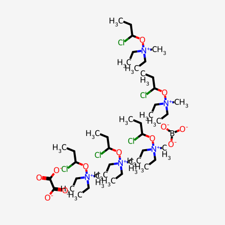 CCC(Cl)O[N+](C)(CC)CC.CCC(Cl)O[N+](C)(CC)CC.CCC(Cl)O[N+](C)(CC)CC.CCC(Cl)O[N+](C)(CC)CC.CCC(Cl)O[N+](C)(CC)CC.O=C([O-])C(=O)[O-].[O-]B([O-])[O-]